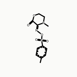 Cc1ccc(S(=O)(=O)O/N=C2/C(=O)OCCN2C)cc1